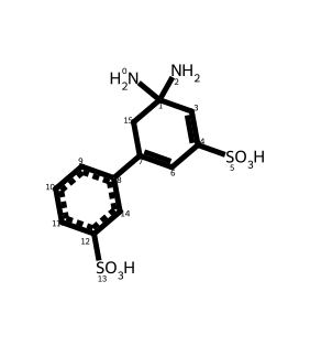 NC1(N)C=C(S(=O)(=O)O)C=C(c2cccc(S(=O)(=O)O)c2)C1